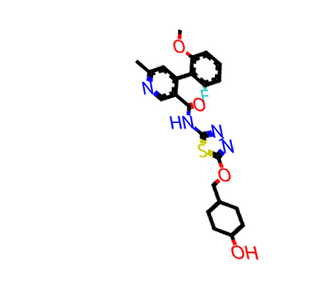 COc1cccc(F)c1-c1cc(C)ncc1C(=O)Nc1nnc(OCC2CCC(O)CC2)s1